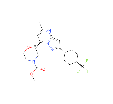 COC(=O)N1CCO[C@@H](c2cc(C)nc3cc([C@H]4CC[C@H](C(F)(F)F)CC4)nn23)C1